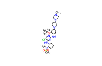 [2H]C([2H])([2H])Oc1cc(N2CCC(N3CCN(C)CC3)CC2)ccc1Nc1ncc(Cl)c(Nc2ccccc2N(C)S(C)(=O)=O)n1